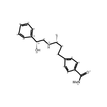 CNC(=O)c1ccc(CC[C@@H](C)NC[C@H](O)c2ccccc2)cc1